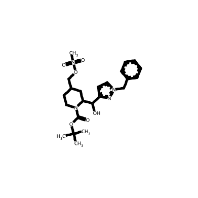 CC(C)(C)OC(=O)N1CCC(COS(C)(=O)=O)CC1C(O)c1ccn(Cc2ccccc2)n1